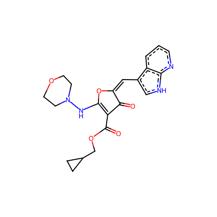 O=C(OCC1CC1)C1=C(NN2CCOCC2)OC(=Cc2c[nH]c3ncccc23)C1=O